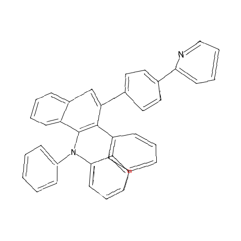 c1ccc(-c2c(-c3ccc(-c4ccccn4)cc3)cc3ccccc3c2N(c2ccccc2)c2ccccc2)cc1